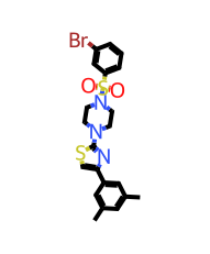 Cc1cc(C)cc(-c2csc(N3CCN(S(=O)(=O)c4cccc(Br)c4)CC3)n2)c1